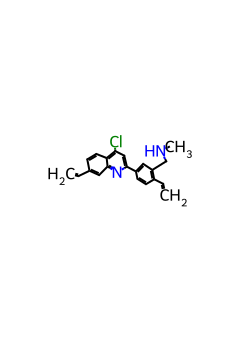 C=Cc1ccc2c(Cl)cc(-c3ccc(C=C)c(CNC)c3)nc2c1